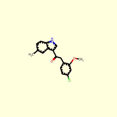 COc1cc(Cl)ccc1CC(=O)c1c[nH]c2ccc(C)cc12